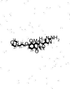 CCn1c(NC(=O)c2cnc(N)nc2)cc2c(OC)c(OCCCN3CCOCC3)ccc2c1=O